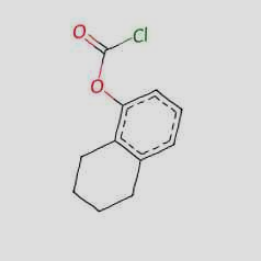 O=C(Cl)Oc1cccc2c1CCCC2